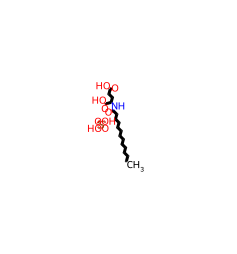 CCCCCCCCCCCCCC(=O)NC(CCC(=O)O)C(=O)O.O=S(=O)(O)O